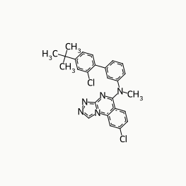 CN(c1cccc(-c2ccc(C(C)(C)C)cc2Cl)c1)c1nc2nncn2c2cc(Cl)ccc12